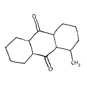 CC1CCCC2C(=O)C3CCCCC3C(=O)C12